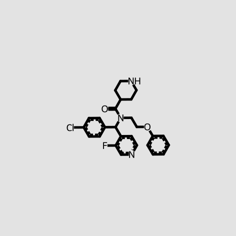 O=C(C1CCNCC1)N(CCOc1ccccc1)C(c1ccc(Cl)cc1)c1ccncc1F